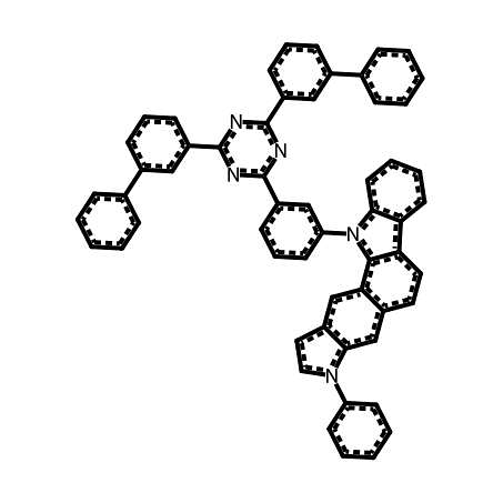 c1ccc(-c2cccc(-c3nc(-c4cccc(-c5ccccc5)c4)nc(-c4cccc(-n5c6ccccc6c6ccc7cc8c(ccn8-c8ccccc8)cc7c65)c4)n3)c2)cc1